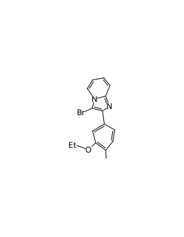 CCOc1cc(-c2nc3ccccn3c2Br)ccc1C